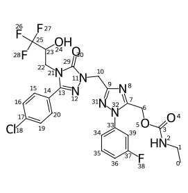 CCNC(=O)OCc1nc(Cn2nc(-c3ccc(Cl)cc3)n(CC(O)C(F)(F)F)c2=O)nn1-c1cccc(F)c1